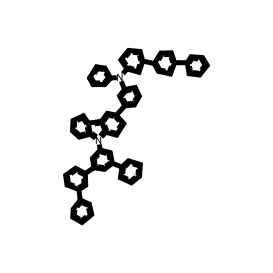 c1ccc(-c2ccc(-c3cccc(N(c4ccccc4)c4cccc(-c5ccc6c(c5)c5ccccc5n6-c5cc(-c6ccccc6)cc(-c6cccc(-c7ccccc7)c6)c5)c4)c3)cc2)cc1